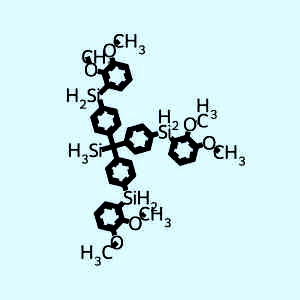 COc1cccc([SiH2]c2ccc(C([SiH3])(c3ccc([SiH2]c4cccc(OC)c4OC)cc3)c3ccc([SiH2]c4cccc(OC)c4OC)cc3)cc2)c1OC